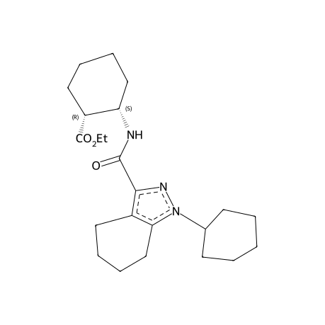 CCOC(=O)[C@@H]1CCCC[C@@H]1NC(=O)c1nn(C2CCCCC2)c2c1CCCC2